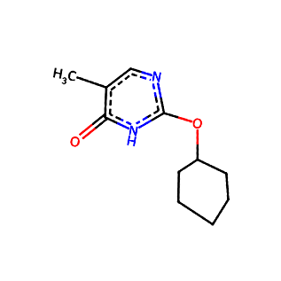 Cc1cnc(OC2CCCCC2)[nH]c1=O